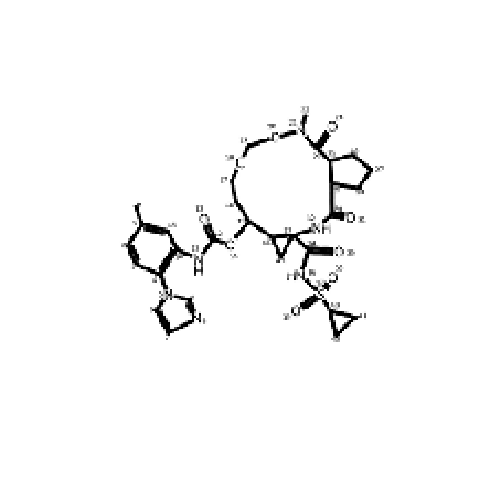 Cc1ccc(-n2ccnc2)c(NC(=O)OC2CCCCCN(C)C(=O)C3CCCC3C(=O)NC3(C(=O)NS(=O)(=O)C4CC4)CC23)c1